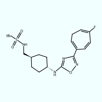 CC(C)(C)S(=O)(=O)NC[C@H]1CC[C@H](Nc2nc(C3=CCC=C(F)C=C3)no2)CC1